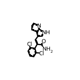 NC(=O)C(=Cc1c[nH]c2ncccc12)c1c(Cl)cccc1Cl